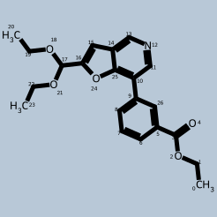 CCOC(=O)c1cccc(-c2cncc3cc(C(OCC)OCC)oc23)c1